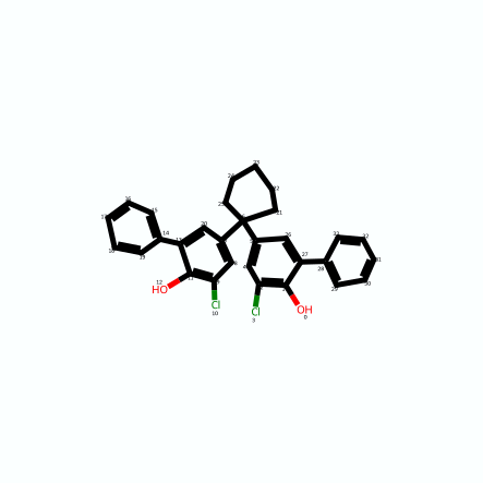 Oc1c(Cl)cc(C2(c3cc(Cl)c(O)c(-c4ccccc4)c3)CCCCC2)cc1-c1ccccc1